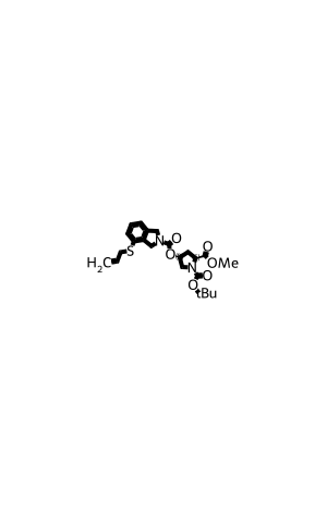 C=CCSc1cccc2c1CN(C(=O)O[C@@H]1C[C@@H](C(=O)OC)N(C(=O)OC(C)(C)C)C1)C2